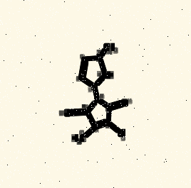 CC1=C(Cl)C(=O)N(N2C=CN(C)N2)C1=O